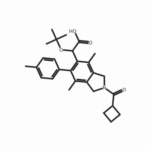 Cc1ccc(-c2c(C)c3c(c(C)c2C(OC(C)(C)C)C(=O)O)CN(C(=O)C2CCC2)C3)cc1